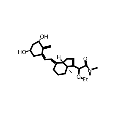 C=C1/C(=C\C=C2/CCC[C@]3(C)C(C(OCC)C(=O)N(C)C)=CC[C@@H]23)C[C@@H](O)C[C@@H]1O